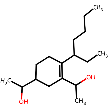 CCCCC(CC)C1=C(C(C)O)CC(C(C)O)CC1